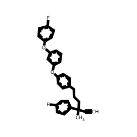 C#CC(C)(CCCc1ccc(Oc2cccc(Oc3ccc(F)cc3)c2)cc1)c1ccc(F)cc1